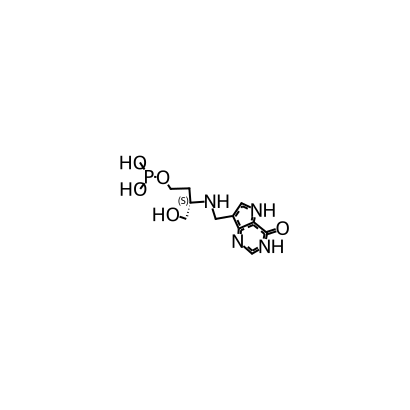 O=c1[nH]cnc2c(CN[C@H](CO)CCOP(O)O)c[nH]c12